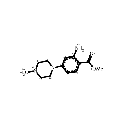 COC(=O)c1ccc(N2CCN(C)CC2)cc1N